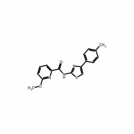 COc1cccc(C(=O)Nc2nc(-c3ccc(C)cc3)cs2)n1